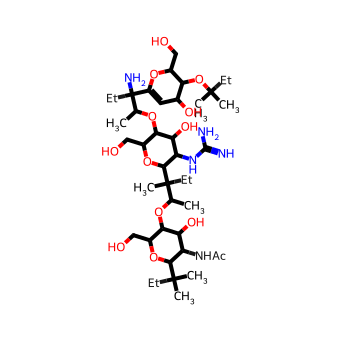 CCC(C)(C)OC1C(O)C=C(C(N)(CC)C(C)OC2C(CO)OC(C(C)(CC)C(C)OC3C(CO)OC(C(C)(C)CC)C(NC(C)=O)C3O)C(NC(=N)N)C2O)OC1CO